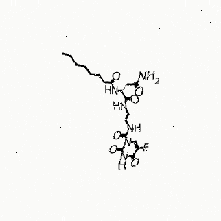 CCCCCCCC(=O)N[C@H](CC(N)=O)C(=O)NCCNC(=O)n1cc(F)c(=O)[nH]c1=O